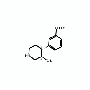 CCOC(=O)c1cccc([C@H]2CCNC[C@@H]2C)c1